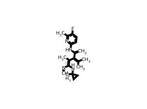 C=N/C(NC1(C)CC1)=C(\C)C(C(=C)Nc1ccc(F)c(C)n1)=C(C)C